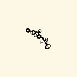 O=C(/C=C/c1ccc2c(c1)C(=O)CC1(CCN(c3ccccc3)CC1)O2)NOC1CCCCO1